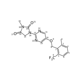 Cc1cccc(C(F)(F)F)c1COc1cnc(N2CC(=O)N(C)C2=O)nc1